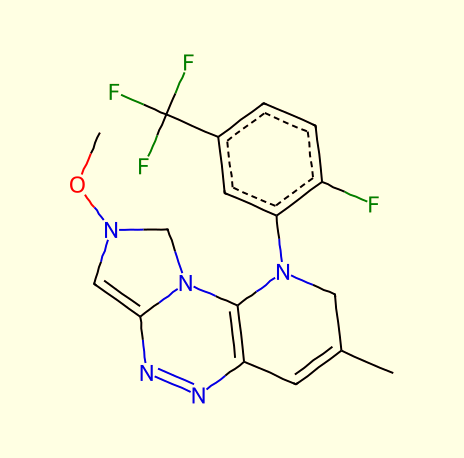 CON1C=C2N=NC3=C(N2C1)N(c1cc(C(F)(F)F)ccc1F)CC(C)=C3